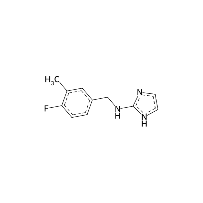 Cc1cc(CNc2ncc[nH]2)ccc1F